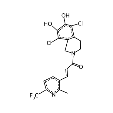 Cc1nc(C(F)(F)F)ccc1C=CC(=O)N1CCc2c(Cl)c(O)c(O)c(Cl)c2C1